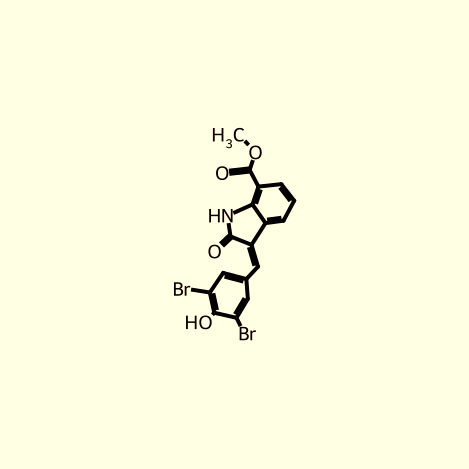 COC(=O)c1cccc2c1NC(=O)C2=Cc1cc(Br)c(O)c(Br)c1